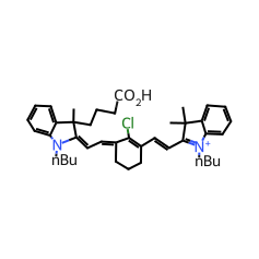 CCCCN1/C(=C/C=C2\CCCC(/C=C/C3=[N+](CCCC)c4ccccc4C3(C)C)=C2Cl)C(C)(CCCC(=O)O)c2ccccc21